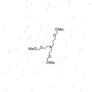 COCOCCCN(CCOCOC)CCOCOC